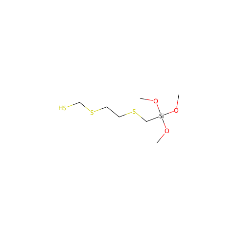 CO[Si](CSCCSCS)(OC)OC